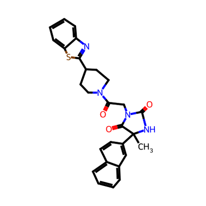 CC1(c2ccc3ccccc3c2)NC(=O)N(CC(=O)N2CCC(c3nc4ccccc4s3)CC2)C1=O